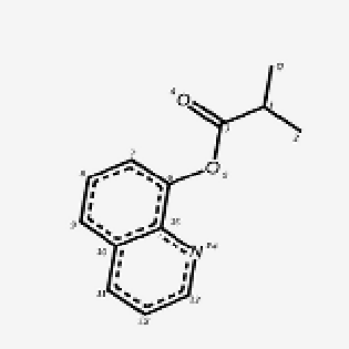 CC(C)C(=O)Oc1cccc2cccnc12